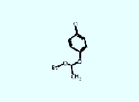 CCOC(C)Oc1ccc(Cl)cc1